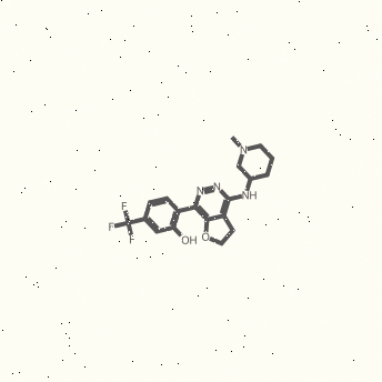 CN1CCCC(Nc2nnc(-c3ccc(C(F)(F)F)cc3O)c3c2CCO3)C1